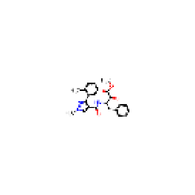 COC(=O)C(=O)C(Cc1ccccc1)NC(=O)c1cn(C)nc1-c1ccccc1C